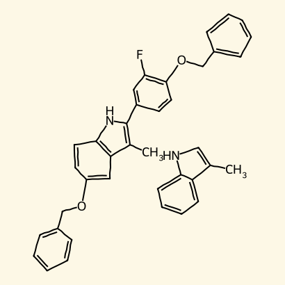 Cc1c(-c2ccc(OCc3ccccc3)c(F)c2)[nH]c2ccc(OCc3ccccc3)cc12.Cc1c[nH]c2ccccc12